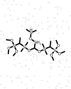 CO[Si](OC)(OC)C(C)[Si](C)(C)OC(O[Si](C)(C)C(C)[Si](OC)(OC)OC)[SiH2]O[SiH](C)C